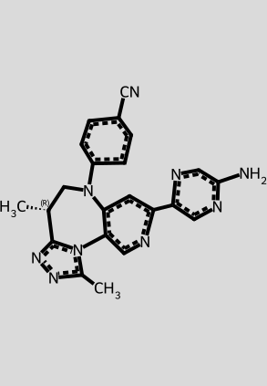 Cc1nnc2n1-c1cnc(-c3cnc(N)cn3)cc1N(c1ccc(C#N)cc1)C[C@H]2C